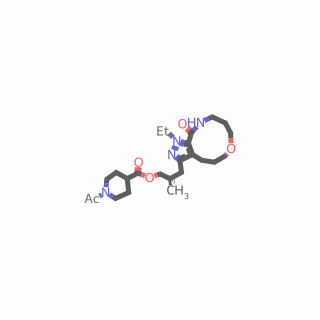 CCn1nc(C[C@@H](C)COC(=O)C2CCN(C(C)=O)CC2)c2c1C(=O)NCCCOCCC2